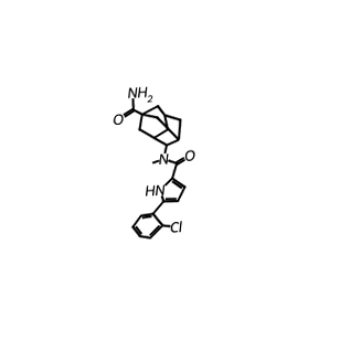 CN(C(=O)c1ccc(-c2ccccc2Cl)[nH]1)C1C2CC3CC1CC(C(N)=O)(C3)C2